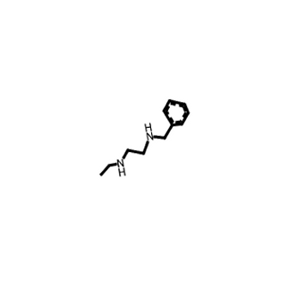 CCNCCNCc1ccccc1